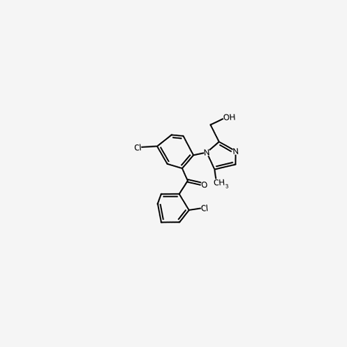 Cc1cnc(CO)n1-c1ccc(Cl)cc1C(=O)c1ccccc1Cl